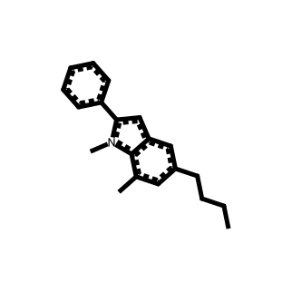 CCCCc1cc(C)c2c(c1)cc(-c1ccccc1)n2C